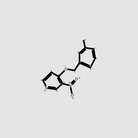 Cc1cccc(COc2ccncc2[N+](=O)[O-])c1